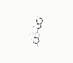 Cc1cnc2c(c1)CC(c1cc3ccncc3n1C)N2